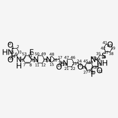 O=C1CCC(Nc2ccc(N3CCC(N4CC(CC(=O)N5CCC(COc6cc(F)c7c(=O)[nH]c(CSC8CCOCC8)nc7c6)CC5)C4)CC3)c(F)c2)C(=O)N1